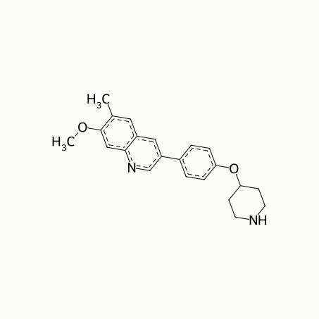 COc1cc2ncc(-c3ccc(OC4CCNCC4)cc3)cc2cc1C